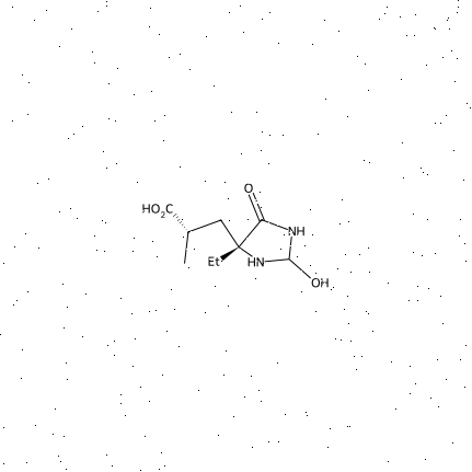 CC[C@]1(C[C@H](C)C(=O)O)NC(O)NC1=O